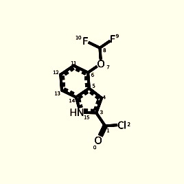 O=C(Cl)c1cc2c(OC(F)F)cccc2[nH]1